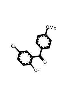 COc1ccc(C(=O)c2cc(Cl)ccc2O)cc1